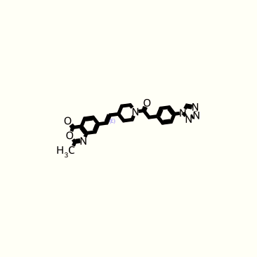 Cc1nc2cc(/C=C/C3CCN(C(=O)Cc4ccc(-n5cnnn5)cc4)CC3)ccc2c(=O)o1